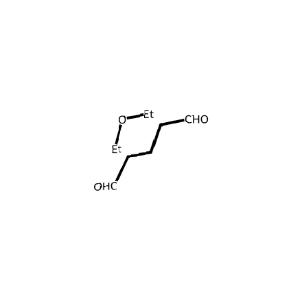 CCOCC.O=CCCCC=O